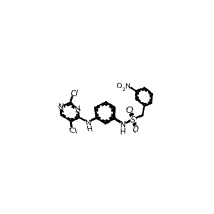 O=[N+]([O-])c1cccc(CS(=O)(=O)Nc2cccc(Nc3nc(Cl)ncc3Cl)c2)c1